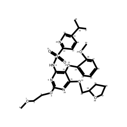 COCCOc1nc(NS(=O)(=O)c2ccc(C(C)C)cn2)c(Oc2ccccc2OC)c(OCC2CCCO2)n1